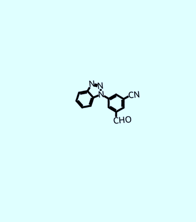 N#Cc1cc(C=O)cc(-n2nnc3ccccc32)c1